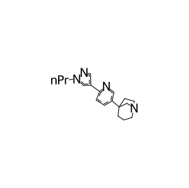 CCCn1cc(-c2ccc(C34CCCN(CC3)C4)cn2)cn1